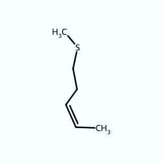 C/C=C\CCSC